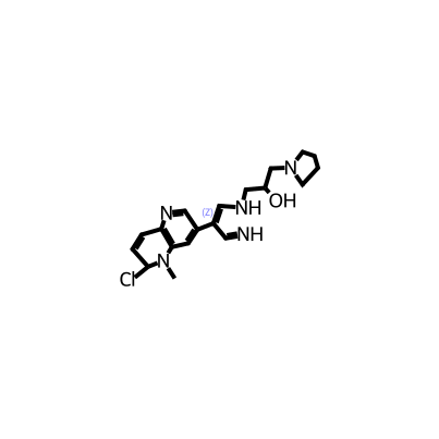 CN1c2cc(/C(C=N)=C/NCC(O)CN3CCCC3)cnc2C=CC1Cl